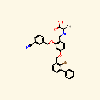 CC(NCc1ccc(OCc2cccc(-c3ccccc3)c2Br)cc1OCc1cccc(C#N)c1)C(=O)O